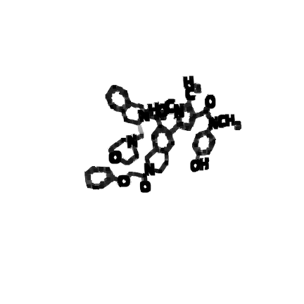 Cc1c(C(=O)N(C)c2ccc(O)cc2)cc(-c2cc3c(cc2C(=O)N2Cc4ccccc4C[C@H]2CN2CCOCC2)CN(C(=O)COc2ccccc2)CC3)n1C